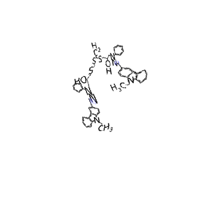 C=C(SCSCC(O)CN(/N=C/c1ccc2c(c1)c1ccccc1n2CC)c1ccccc1)SCC(O)CN(/N=C/c1ccc2c(c1)c1ccccc1n2CC)c1ccccc1